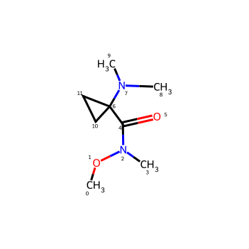 CON(C)C(=O)C1(N(C)C)CC1